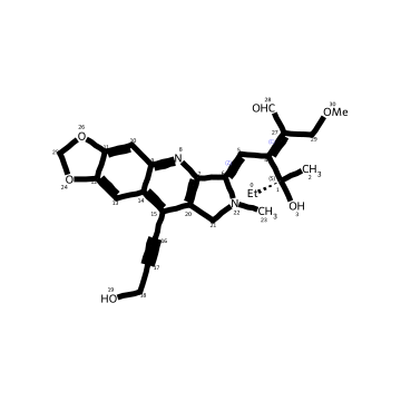 CC[C@](C)(O)C(/C=C1/c2nc3cc4c(cc3c(C#CCO)c2CN1C)OCO4)=C(/C=O)COC